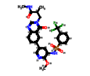 CNC(=O)C(C)Cn1cnc2ccc(-c3cnc(OC)c(NS(=O)(=O)c4cccc(C(F)(F)F)c4)c3)cc2c1=O